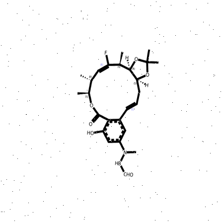 C[C@@H]1/C=C(/F)[C@@H](C)[C@H]2OC(C)(C)O[C@H]2C/C=C/c2cc(N(C)BC=O)cc(O)c2C(=O)O[C@H]1C